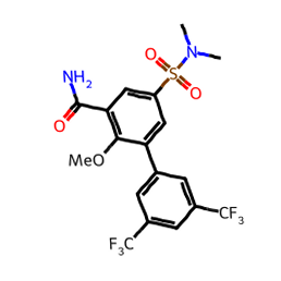 COc1c(C(N)=O)cc(S(=O)(=O)N(C)C)cc1-c1cc(C(F)(F)F)cc(C(F)(F)F)c1